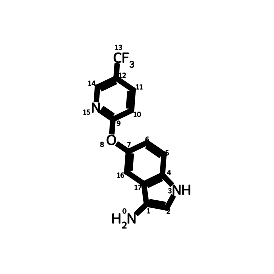 Nc1c[nH]c2ccc(Oc3ccc(C(F)(F)F)cn3)cc12